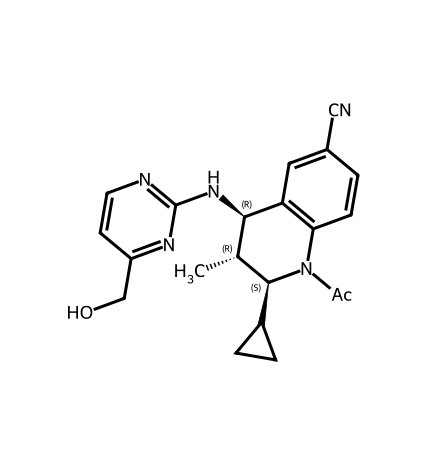 CC(=O)N1c2ccc(C#N)cc2[C@H](Nc2nccc(CO)n2)[C@@H](C)[C@@H]1C1CC1